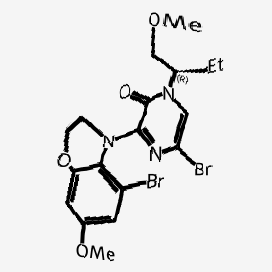 CC[C@H](COC)n1cc(Br)nc(N2CCOc3cc(OC)cc(Br)c32)c1=O